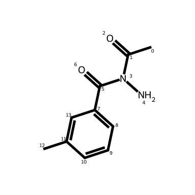 CC(=O)N(N)C(=O)c1cccc(C)c1